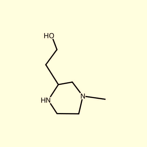 CN1CCNC(CCO)C1